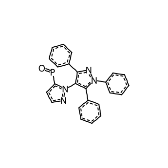 O=Pc1ccnn1-c1c(-c2ccccc2)nn(-c2ccccc2)c1-c1ccccc1